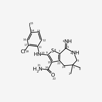 CC1(C)CNC(=N)c2sc(Nc3ccc(I)cc3Cl)c(C(N)=O)c2C1